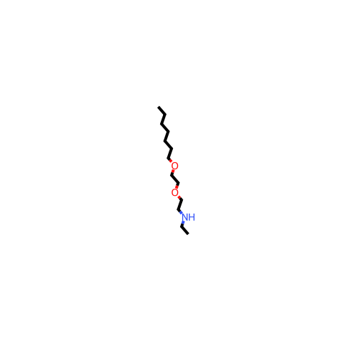 CCCCCCCOCCOCCNCC